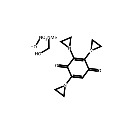 CNCO.O=C1C=C(N2CC2)C(=O)C(N2CC2)=C1N1CC1.O=[N+]([O-])O